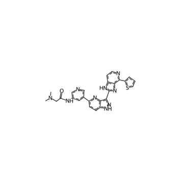 CN(C)CC(=O)Nc1cncc(-c2ccc3[nH]nc(-c4nc5c(-c6cccs6)nccc5[nH]4)c3n2)c1